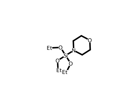 CCO[Si](OCC)(OCC)N1CCOCC1